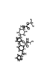 CCNS(=O)(=O)c1cc(Nc2nncs2)ccc1-c1cnc(C2CCC(NC(=O)OC(C)C)CC2)s1